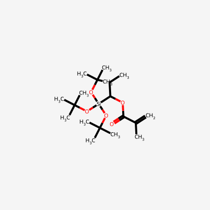 C=C(C)C(=O)OC(CC)[Si](OC(C)(C)C)(OC(C)(C)C)OC(C)(C)C